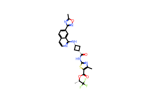 Cc1nc(-c2ccc3ccnc(N[C@H]4C[C@@H](C(=O)Nc5nc(C)c(C(=O)O[C@@H](C)C(F)(F)F)s5)C4)c3c2)no1